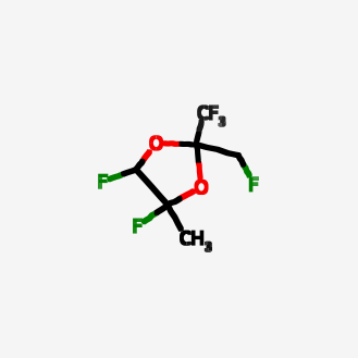 CC1(F)OC(CF)(C(F)(F)F)OC1F